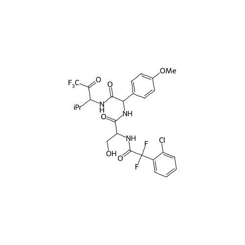 COc1ccc(C(NC(=O)C(CO)NC(=O)C(F)(F)c2ccccc2Cl)C(=O)NC(C(=O)C(F)(F)F)C(C)C)cc1